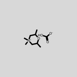 CC1C[N+](C)(C)CC(C)O1.O=C([O-])O